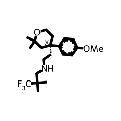 COc1ccc([C@]2(CCNCC(C)(C)C(F)(F)F)CCOC(C)(C)C2)cc1